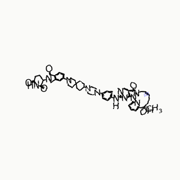 C[C@@]1(O)CC/C=C\Cn2c(=O)c3cnc(Nc4ccc(N5CCN(C6CCC7(CC6)CCN(c6ccc8c(c6)CN(C6CCC(=O)NC6=O)C8=O)CC7)CC5)cc4)nc3n2-c2cccc1n2